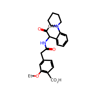 CCOc1cc(CC(=O)NC(C(=O)OC)c2ccccc2N2CCCCC2)ccc1C(=O)O